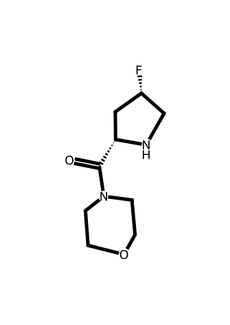 O=C([C@@H]1C[C@H](F)CN1)N1CCOCC1